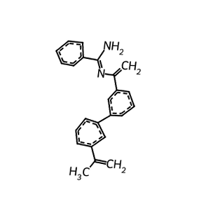 C=C(C)c1cccc(-c2cccc(C(=C)/N=C(\N)c3ccccc3)c2)c1